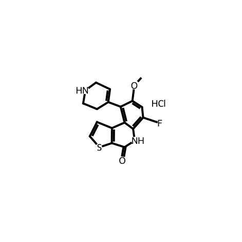 COc1cc(F)c2[nH]c(=O)c3sccc3c2c1C1=CCNCC1.Cl